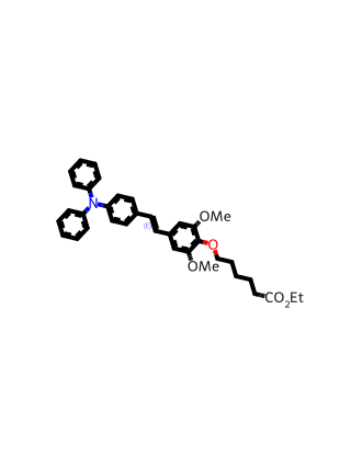 CCOC(=O)CCCCCOc1c(OC)cc(/C=C/c2ccc(N(c3ccccc3)c3ccccc3)cc2)cc1OC